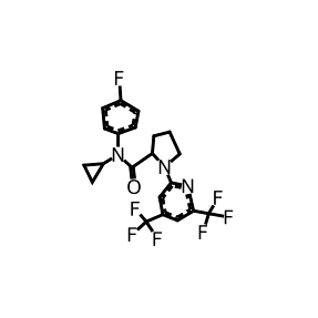 O=C(C1CCCN1c1cc(C(F)(F)F)cc(C(F)(F)F)n1)N(c1ccc(F)cc1)C1CC1